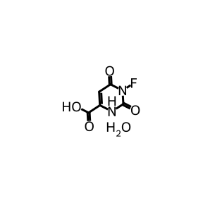 O.O=C(O)c1cc(=O)n(F)c(=O)[nH]1